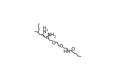 CCCCC(=O)NCCOCCOCCN(N)/C=C(\N)CC(C)CCC